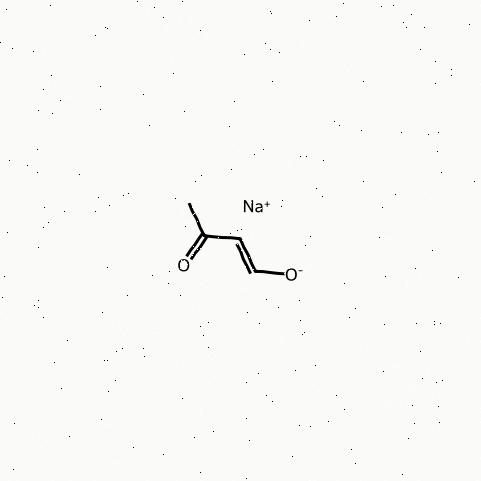 CC(=O)/C=C/[O-].[Na+]